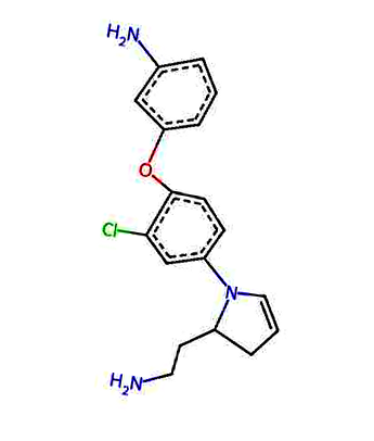 NCCC1CC=CN1c1ccc(Oc2cccc(N)c2)c(Cl)c1